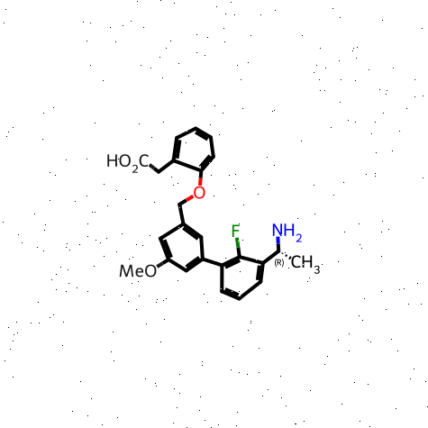 COc1cc(COc2ccccc2CC(=O)O)cc(-c2cccc([C@@H](C)N)c2F)c1